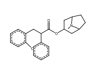 CN1C2CCC1CC(OC(=O)C(Cc1ccccc1Cl)c1ccccc1)C2